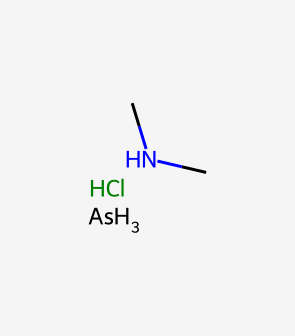 CNC.Cl.[AsH3]